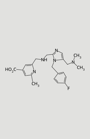 Cc1cc(C(=O)O)cc(CNCc2ncc(CN(C)C)n2Cc2ccc(F)cc2)n1